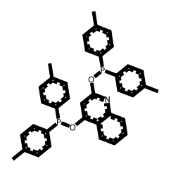 Cc1ccc(P(Oc2cc(OP(c3ccc(C)cc3)c3ccc(C)cc3)c3ccccc3n2)c2ccc(C)cc2)cc1